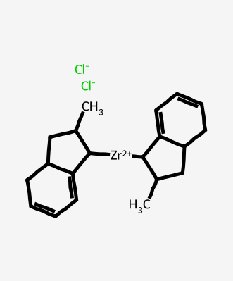 CC1CC2CC=CC=C2[CH]1[Zr+2][CH]1C2=CC=CCC2CC1C.[Cl-].[Cl-]